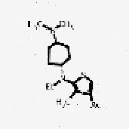 CCN(c1scc(C(C)=O)c1C)[C@H]1CC[C@H](N(C)C)CC1